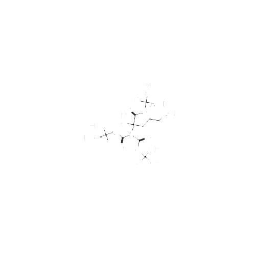 CC(C)(C)OC(=O)N(C(=O)OC(C)(C)C)C(C)(CCCO)C(=O)OC(C)(C)C